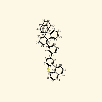 c1cc(-c2ccc3c(c2)-c2cccc4cccc(c24)S3)cc(-c2cccc3c2-c2ccccc2C32C3CC4CC(C3)CC2C4)c1